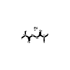 CN(C)C(=S)SSC(=S)N(C)C.[Pb]